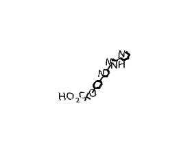 CC(C)(COc1ccc(-c2ccc(-c3ncc(-c4ccccn4)[nH]3)cn2)cc1)C(=O)O